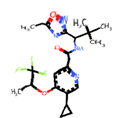 Cc1nc(C(NC(=O)c2cc(O[C@@H](C)C(F)(F)F)c(C3CC3)cn2)C(C)(C)C)no1